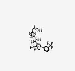 CC(O)Cc1nsc(NC(=O)c2cc(-c3cccc(C(F)(F)F)c3)oc2C(F)(F)F)n1